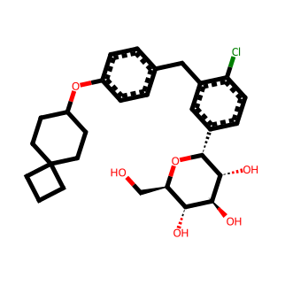 OC[C@H]1O[C@H](c2ccc(Cl)c(Cc3ccc(OC4CCC5(CCC5)CC4)cc3)c2)[C@H](O)[C@@H](O)[C@@H]1O